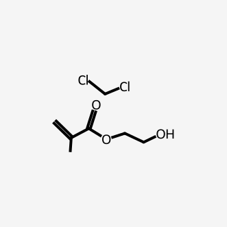 C=C(C)C(=O)OCCO.ClCCl